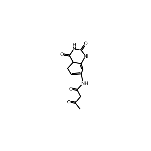 CC(=O)CC(=O)NC1=CCC2C(=O)NC(=O)NC2=C1